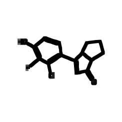 O=C1C=C(c2ccc(O)c(F)c2Cl)C2CCCC12